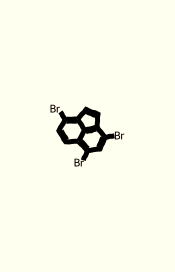 Brc1ccc2c(Br)cc(Br)c3c2c1C=C3